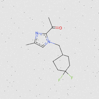 CC(=O)c1nc(C)cn1CC1CCC(F)(F)CC1